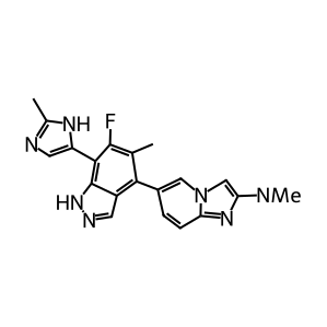 CNc1cn2cc(-c3c(C)c(F)c(-c4cnc(C)[nH]4)c4[nH]ncc34)ccc2n1